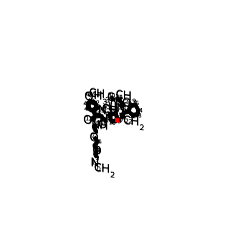 C=NCCOCCOCCNC(=O)c1c(C(=O)N2CCN(C(=C)C(NC(=O)[C@H](C)NC)C3CCCCC3)CC2)n(C)c2cc(OC)ccc12